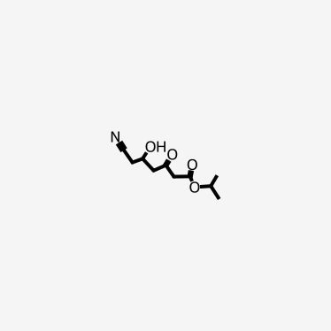 CC(C)OC(=O)CC(=O)CC(O)CC#N